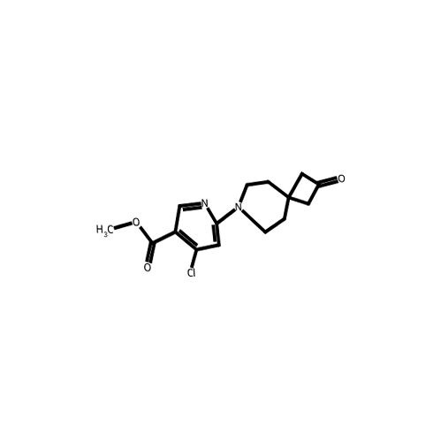 COC(=O)c1cnc(N2CCC3(CC2)CC(=O)C3)cc1Cl